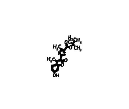 Cc1nc(-c2c(C)c3ccc(O)cc3oc2=O)sc1C(=O)OC(C)(C)C